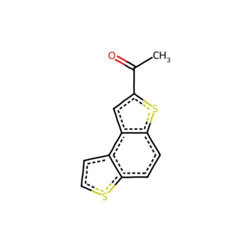 CC(=O)c1cc2c(ccc3sccc32)s1